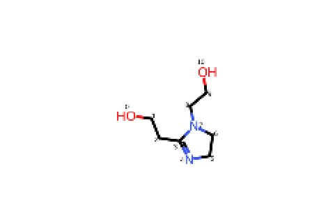 OCCC1=NCCN1CCO